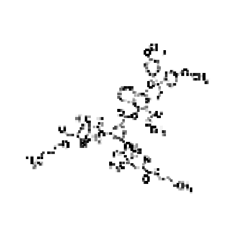 CCCCOC(=O)C(Br)CC(C)(C)C(=O)Oc1cc(OC(=O)C(C)(C)CC(Br)C(=O)OCCCC)cc(C(=O)Oc2c(C(=O)OC)c3c(c4ccccc24)OC(c2ccc(OC)cc2)(c2ccc(OC)cc2)C=C3)c1